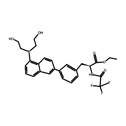 CCOC(=O)[C@H](Cc1cccc(-c2ccc3c(N(CCO)CCO)cccc3c2)c1)NC(=O)C(F)(F)F